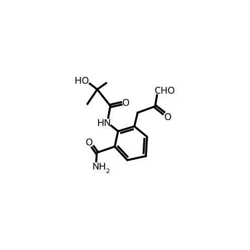 CC(C)(O)C(=O)Nc1c(CC(=O)C=O)cccc1C(N)=O